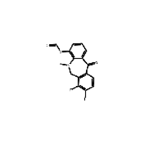 CN1Cc2c(ccc(F)c2F)C(=O)c2cccc(SC=O)c21